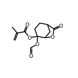 C=C(C)C(=O)OC1(OC=O)CCC2CC1OC2=O